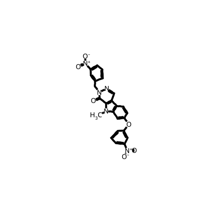 Cn1c2cc(Oc3cccc([N+](=O)[O-])c3)ccc2c2cnn(Cc3cccc([N+](=O)[O-])c3)c(=O)c21